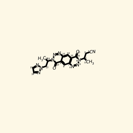 CC(CC#N)n1nnc2cc3c(=O)n(C(C)Cn4nccn4)nnc3cc2c1=O